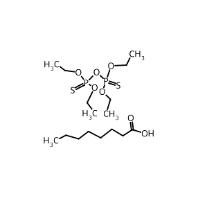 CCCCCCCC(=O)O.CCOP(=S)(OCC)OP(=S)(OCC)OCC